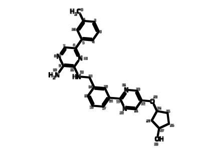 Cc1cccc(-c2cnc(N)c(NCc3cccc(-c4ncc(OC5CCC(O)C5)cn4)c3)n2)c1